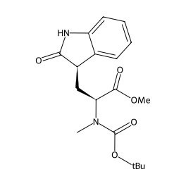 COC(=O)[C@H](C[C@H]1C(=O)Nc2ccccc21)N(C)C(=O)OC(C)(C)C